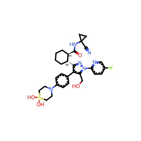 N#CC1(NC(=O)[C@@H]2CCCC[C@H]2c2nn(-c3ccc(F)cn3)c(CO)c2-c2ccc(N3CCS(O)(O)CC3)cc2)CC1